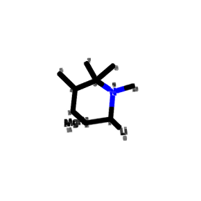 [Li][CH]1CCC(C)C(C)(C)N1C.[MgH2]